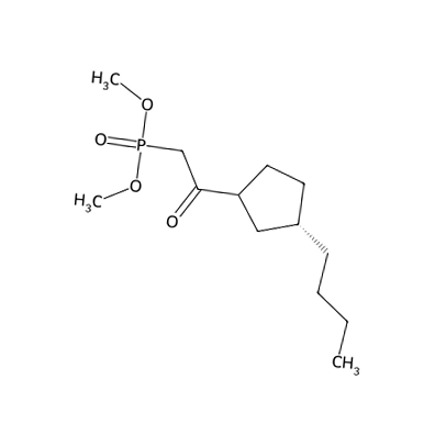 CCCC[C@H]1CCC(C(=O)CP(=O)(OC)OC)C1